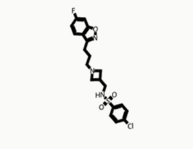 O=S(=O)(NCC1CN(CCCc2noc3cc(F)ccc23)C1)c1ccc(Cl)cc1